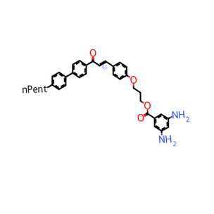 CCCCCc1ccc(-c2ccc(C(=O)/C=C/c3ccc(OCCCOC(=O)c4cc(N)cc(N)c4)cc3)cc2)cc1